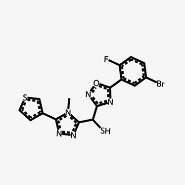 Cn1c(-c2ccsc2)nnc1C(S)c1noc(-c2cc(Br)ccc2F)n1